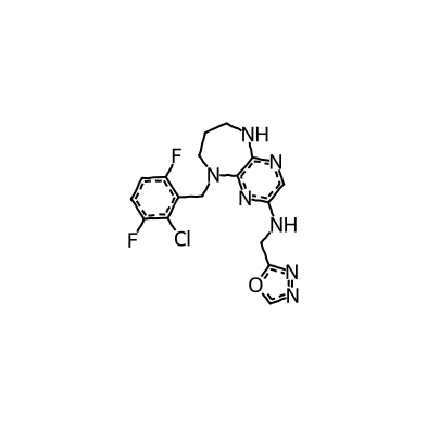 Fc1ccc(F)c(CN2CCCNc3ncc(NCc4nnco4)nc32)c1Cl